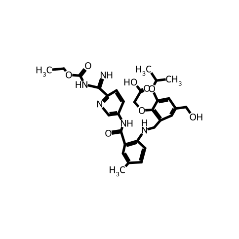 CCOC(=O)NC(=N)c1ccc(NC(=O)c2cc(C)ccc2NCc2cc(CO)cc(OC(C)C)c2OCC(=O)O)cn1